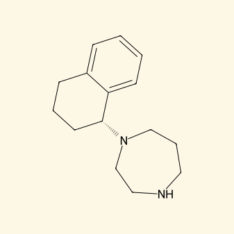 c1ccc2c(c1)CCC[C@H]2N1CCCNCC1